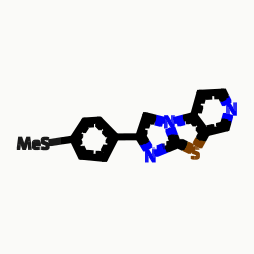 CSc1ccc(-c2cn3c(n2)sc2cnccc23)cc1